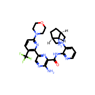 Nc1ncc(-c2nc(N3CCOCC3)ccc2C(F)(F)F)nc1C(=O)Nc1ncccc1N1C[C@H]2CC[C@@H](C1)[C@@H]2N